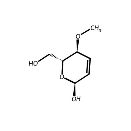 CO[C@H]1C=C[C@@H](O)O[C@@H]1CO